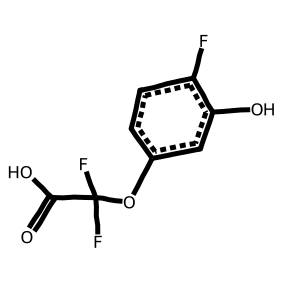 O=C(O)C(F)(F)Oc1ccc(F)c(O)c1